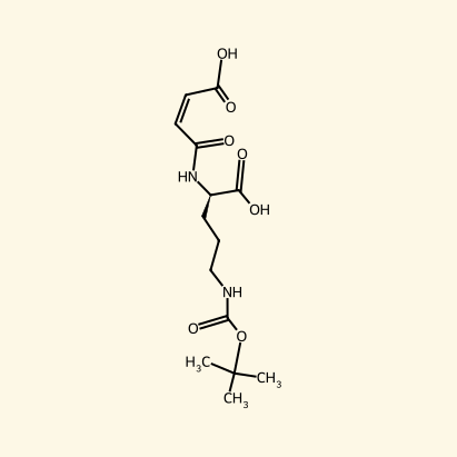 CC(C)(C)OC(=O)NCCC[C@@H](NC(=O)/C=C\C(=O)O)C(=O)O